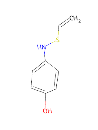 C=CSNc1ccc(O)cc1